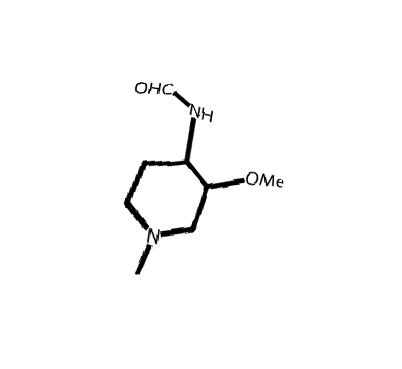 COC1CN(C)CCC1NC=O